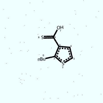 CCCCc1sccc1C(O)=S